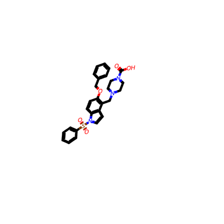 O=C(O)N1CCN(Cc2c(OCc3ccccc3)ccc3c2ccn3S(=O)(=O)c2ccccc2)CC1